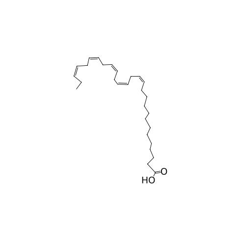 CC/C=C\C/C=C\C/C=C\C/C=C\C/C=C\CCCCCCCCCCCC(=O)O